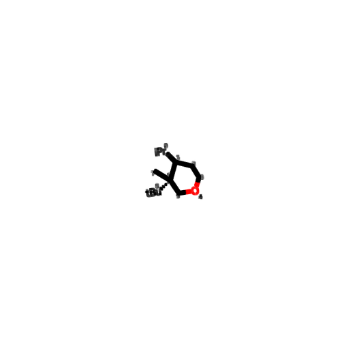 CC(C)C1CCOC[C@]1(C)C(C)(C)C